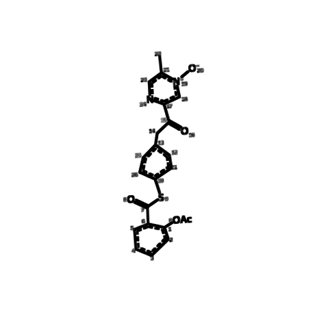 CC(=O)Oc1ccccc1C(=O)Sc1ccc(CC(=O)c2c[n+]([O-])c(C)cn2)cc1